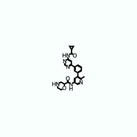 Cc1ncc(NC(=O)C2CNCCO2)cc1-c1cccc(-c2cc(NC(=O)C3CC3)ncn2)c1